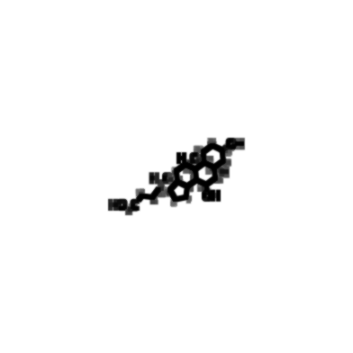 C[C@]12CCC3C(C1CC[C@@H]2CCCC(=O)O)[C@H](O)C[C@@H]1C[C@H](O)CC[C@]31C